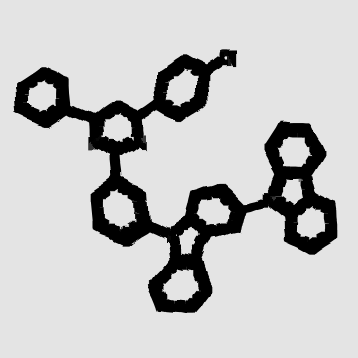 N#Cc1ccc(-c2cc(-c3ccccc3)nc(-c3cccc(-n4c5ccccc5c5cc(-n6c7ccccc7c7ccccc76)ccc54)c3)n2)cc1